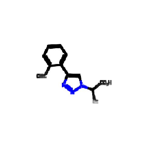 CCC(C(=O)O)n1cc(-c2ccccc2C=O)nn1